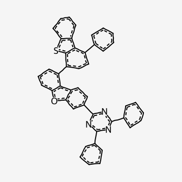 c1ccc(-c2nc(-c3ccccc3)nc(-c3ccc4c(c3)oc3cccc(-c5ccc(-c6ccccc6)c6c5sc5ccccc56)c34)n2)cc1